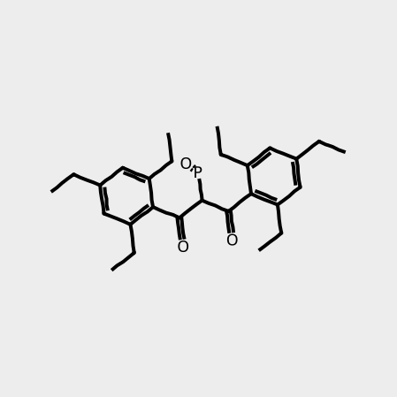 CCc1cc(CC)c(C(=O)C(P=O)C(=O)c2c(CC)cc(CC)cc2CC)c(CC)c1